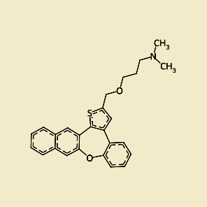 CN(C)CCCOCc1cc2c(s1)-c1cc3ccccc3cc1Oc1ccccc1-2